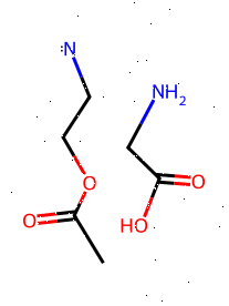 CC(=O)OCC[N].NCC(=O)O